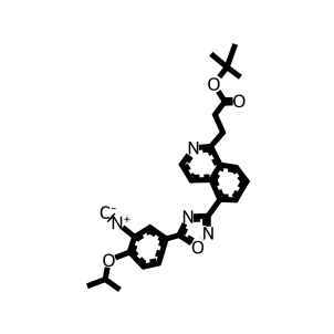 [C-]#[N+]c1cc(-c2nc(-c3cccc4c(CCC(=O)OC(C)(C)C)nccc34)no2)ccc1OC(C)C